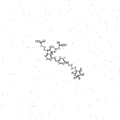 Cc1c(CCCC(=O)O)c2cccc(C=Cc3ccc(OCCCCc4c(F)c(F)c(F)c(F)c4F)cc3)c2n1CCCC(=O)O